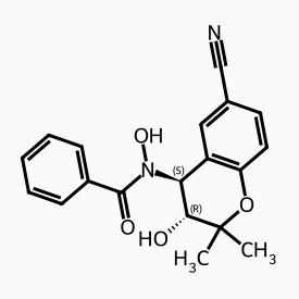 CC1(C)Oc2ccc(C#N)cc2[C@H](N(O)C(=O)c2ccccc2)[C@H]1O